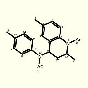 CC(=O)N1c2ccc(C)cc2C(N(C(C)=O)c2ccc(C)cc2)CC1C